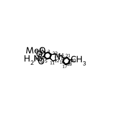 COc1cc2c(cc1S(N)(=O)=O)CCN(Cc1cccc(C)c1)C2